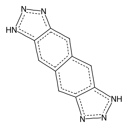 c1c2cc3[nH]nnc3cc2cc2[nH]nnc12